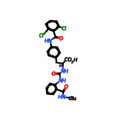 CC(C)(C)NC(=O)c1ccccc1NC(=O)N[C@@H](Cc1ccc(NC(=O)c2c(Cl)cccc2Cl)cc1)C(=O)O